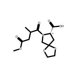 COC(=O)CC(C)C(=O)N1CC2(C[C@H]1C(=O)O)SCCS2